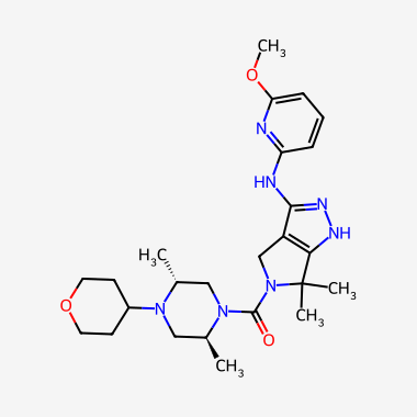 COc1cccc(Nc2n[nH]c3c2CN(C(=O)N2C[C@@H](C)N(C4CCOCC4)C[C@@H]2C)C3(C)C)n1